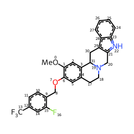 COc1cc2c(cc1OCc1ccc(C(F)(F)F)cc1F)CCN1Cc3[nH]c4ccccc4c3CC21